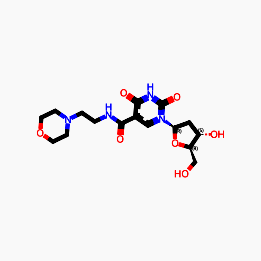 O=C(NCCN1CCOCC1)c1cn([C@H]2C[C@H](O)[C@@H](CO)O2)c(=O)[nH]c1=O